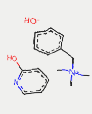 C[N+](C)(C)Cc1ccccc1.Oc1ccccn1.[OH-]